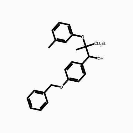 CCOC(=O)C(C)(Oc1cccc(C)c1)C(O)c1ccc(OCc2ccccc2)cc1